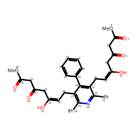 COC(=O)CC(=O)C/C(O)=C\Cc1c(C(C)C)nc(C(C)C)c(C/C=C(/O)CC(=O)CC(=O)OC)c1-c1ccccc1